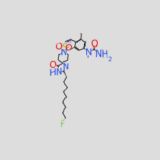 Cc1cc(N(C)C(N)=O)cc(C)c1/C=C\S(=O)(=O)N1CCC2(CC1)N=C(CCCCCCCCCF)NC2=O